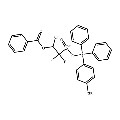 CC(C)(C)c1ccc(S(OS(=O)(=O)C(F)(F)C(OC(=O)c2ccccc2)C(F)(F)F)(c2ccccc2)c2ccccc2)cc1